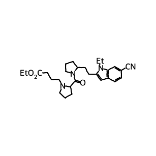 CCOC(=O)CCCN1CCCC1C(=O)N1CCCC1CCc1cc2ccc(C#N)cc2n1CC